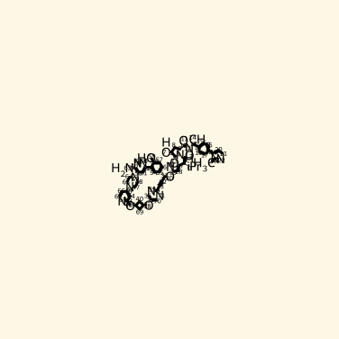 CC(C)[C@@H](C(=O)N1C[C@H](O)C[C@H]1C(=O)N[C@@H](C)c1ccc(-c2ccnn2C)cc1)c1cc(OCC#Cc2ncc(O[C@H]3C[C@H](Oc4cc(N5CCN(c6cc(-c7ccccc7O)nnc6N)CC5)ccn4)C3)cn2)no1